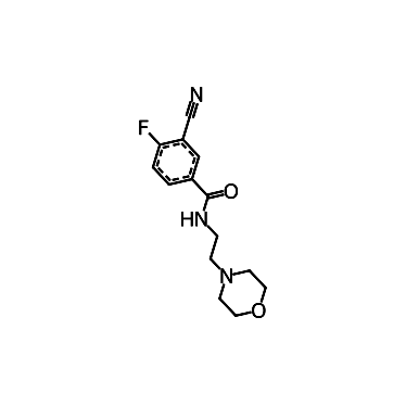 N#Cc1cc(C(=O)NCCN2CCOCC2)ccc1F